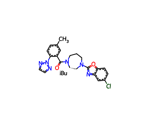 CC[C@H](C)[C@H]1CN(c2nc3cc(Cl)ccc3o2)CCCN1C(=O)c1cc(C)ccc1-n1nccn1